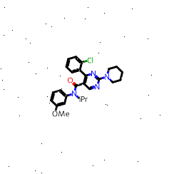 COc1cccc(N(C(=O)c2cnc(N3CCCCC3)nc2-c2ccccc2Cl)C(C)C)c1